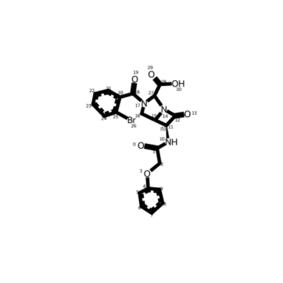 O=C(COc1ccccc1)N[C@@H]1C(=O)N2C1CN(C(=O)c1ccccc1Br)C2C(=O)O